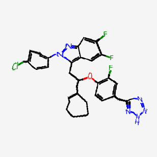 Fc1cc2nn(-c3ccc(Cl)cc3)c(CC(Oc3ccc(-c4nn[nH]n4)cc3F)C3CCCCC3)c2cc1F